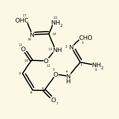 NC(=NC=O)NOC(=O)/C=C\C(=O)ONC(N)=NC=O